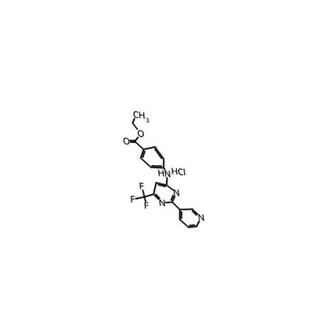 CCOC(=O)c1ccc(Nc2cc(C(F)(F)F)nc(-c3cccnc3)n2)cc1.Cl